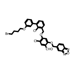 O=Cc1cc(Cl)c(OCc2cccc(-c3cccc(OCCCCBr)c3)c2Cl)cc1OCc1ccc2nonc2c1